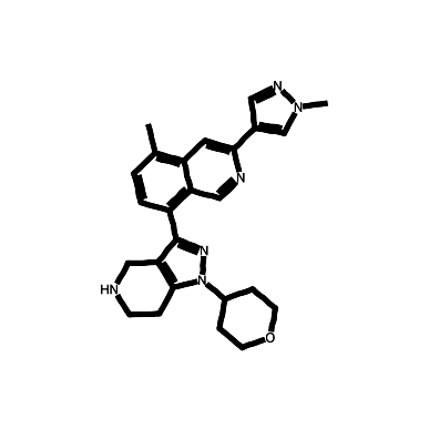 Cc1ccc(-c2nn(C3CCOCC3)c3c2CNCC3)c2cnc(-c3cnn(C)c3)cc12